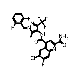 Cc1c(NC(=O)c2cc(C(N)=O)nc3cc(F)c(Cl)cc23)c(C(F)(F)F)nn1Cc1c(F)cccc1F